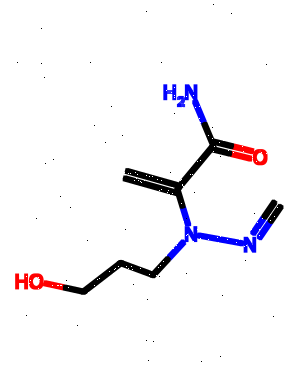 C=NN(CCCO)C(=C)C(N)=O